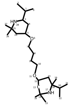 CC(C)C1CC(OCCCCOC2CC(C)(C)NC(C)(C(C)C)C2)CC(C)(C)N1